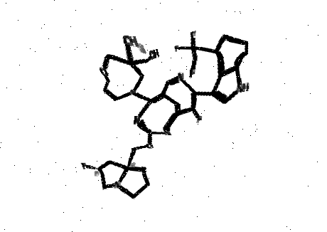 CC1(O)COCCN(c2nc(OC[C@@]34CCCN3C[C@H](F)C4)nc3c(F)c(-c4c[nH]c5cccc(C(F)(F)F)c45)ncc23)C1